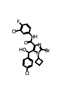 O=C(Nc1ccc(F)c(Cl)c1)c1nc(Br)n(C2CCC2)c1C(O)c1ccc(Cl)cc1